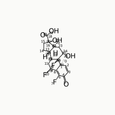 C[C@]12C=CC(=O)C(F)=C1[C@@H](F)C[C@H]1[C@@H]3CC[C@](O)(C(=O)O)[C@@]3(C)C[C@H](O)[C@@]12F